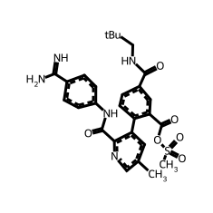 Cc1cnc(C(=O)Nc2ccc(C(=N)N)cc2)c(-c2ccc(C(=O)NCC(C)(C)C)cc2C(=O)OS(C)(=O)=O)c1